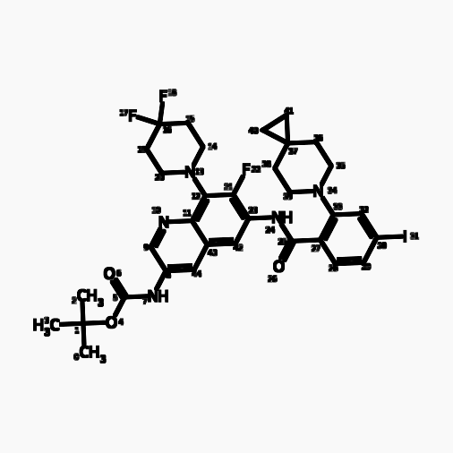 CC(C)(C)OC(=O)Nc1cnc2c(N3CCC(F)(F)CC3)c(F)c(NC(=O)c3ccc(I)cc3N3CCC4(CC3)CC4)cc2c1